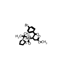 COC(=O)CC(NC(=O)[C@@H]1CCCN1C(C)(C)C)C(=O)c1ccc(Br)cc1